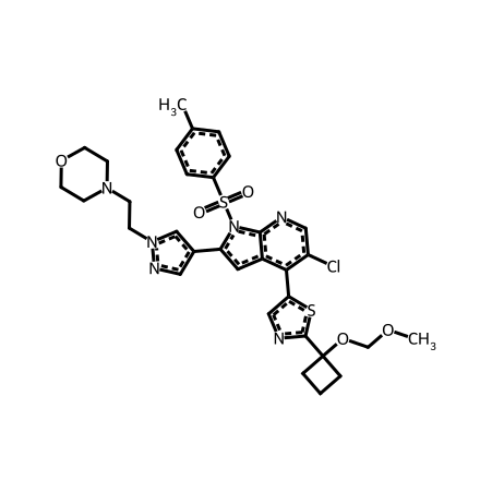 COCOC1(c2ncc(-c3c(Cl)cnc4c3cc(-c3cnn(CCN5CCOCC5)c3)n4S(=O)(=O)c3ccc(C)cc3)s2)CCC1